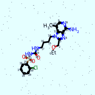 CCOCc1nc2c(N)ncc(C)c2n1CCCCNC(=O)NS(=O)(=O)c1ccccc1Cl